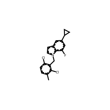 Cc1ccc(Cl)c(Cn2ccc3cc(C4CC4)cc(F)c32)c1Cl